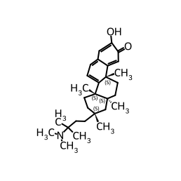 CN(C)C(C)(C)CC[C@]1(C)CC[C@]2(C)C3=CC=C4C=C(O)C(=O)C=C4[C@]3(C)CC[C@@]2(C)C1